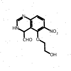 O=CC1NC=Nc2ccc([N+](=O)[O-])c(OCCO)c21